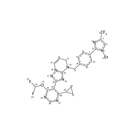 CCn1cc(C(F)(F)F)nc1-c1ccc(CN2CC=Cn3nc(-c4c(OC(F)F)ncnc4C4CC4)nc32)cc1